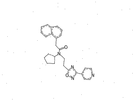 O=C(Cc1cccc2ccccc12)N(CCc1nc(-c2ccncc2)no1)C1CCCC1